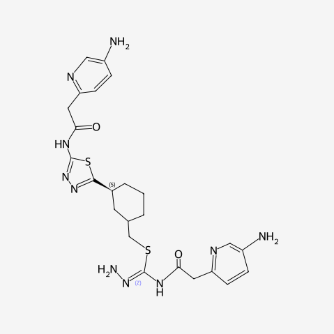 N/N=C(/NC(=O)Cc1ccc(N)cn1)SCC1CCC[C@H](c2nnc(NC(=O)Cc3ccc(N)cn3)s2)C1